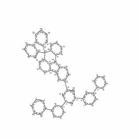 c1ccc(-c2cccc(-c3nc(-c4cccc(-c5ccccc5)c4)nc(-c4ccc5c(c4)c4cccc6c4n5-c4ccccc4C6(c4ccccc4)c4ccccc4)n3)c2)cc1